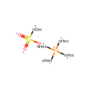 CCCCCCCCCCS(=O)(=O)[O-].CCCCCC[P+](CCCCCC)(CCCCCC)CCCCCC